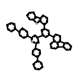 c1ccc(-c2ccc(-c3cc(-c4cc(-c5ccc6c7c(cccc57)-c5ccccc5-6)cc(-c5cccc6c5sc5ccccc56)c4)cc(-c4ccc(-c5ccccc5)cc4)n3)cc2)cc1